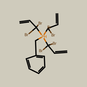 C=CC(Br)(Br)[PH](Cc1ccccc1)(C(Br)(Br)C=C)C(Br)(Br)C=C